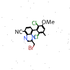 COc1cc(C)c(Cl)c(-c2ccc(C#N)c3ncc(CBr)nc23)c1Cl